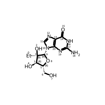 CC[C@@]1(O)[C@H](O)[C@@H](CO)O[C@H]1n1cnc2c(=O)[nH]c(N)nc21